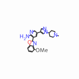 COc1cccc2oc(-c3cc(-c4cnn(C5CCN(C)CC5)c4)cnc3N)nc12